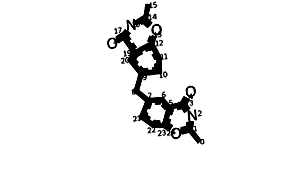 Cc1nc(=O)c2cc(Cc3ccc4oc(C)nc(=O)c4c3)ccc2o1